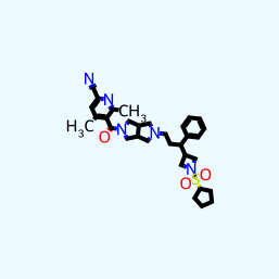 Cc1cc(C#N)nc(C)c1C(=O)N1CC2CN(CCC(c3ccccc3)C3CN(S(=O)(=O)C4CCCC4)C3)CC2C1